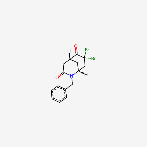 O=C1C[C@H]2C[C@H](CC(Br)(Br)C2=O)N1Cc1ccccc1